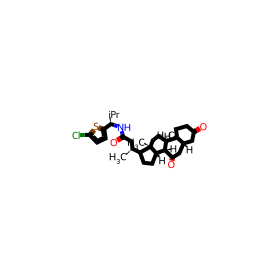 CC(C)[C@H](NC(=O)C[C@@H](C)C1CC[C@H]2[C@@H]3C(=O)C[C@@H]4CC(=O)CC[C@]4(C)[C@H]3CC[C@]12C)c1ccc(Cl)s1